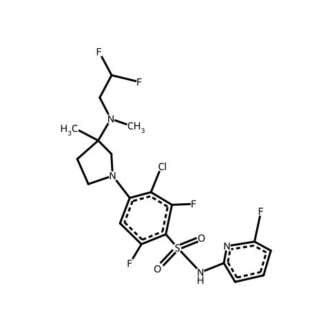 CN(CC(F)F)C1(C)CCN(c2cc(F)c(S(=O)(=O)Nc3cccc(F)n3)c(F)c2Cl)C1